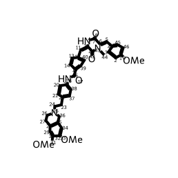 COc1ccc(C=c2c(=O)[nH]c(=Cc3ccc(C(=O)Nc4ccc(CCN5CCc6cc(OC)c(OC)cc6C5)cc4)cc3)c(=O)n2C)cc1